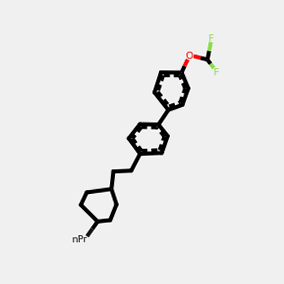 CCCC1CCC(CCc2ccc(-c3ccc(OC(F)F)cc3)cc2)CC1